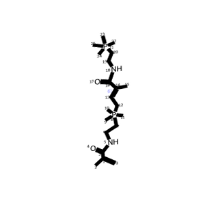 C=C(C)C(=O)NCCP(C)(C)(C)C/C=C(\C)C(=O)NCCP(C)(C)(C)C